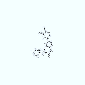 O=C1Oc2ccc(-c3ccc(F)c(Cl)c3)cc2CN1Cc1ncccn1